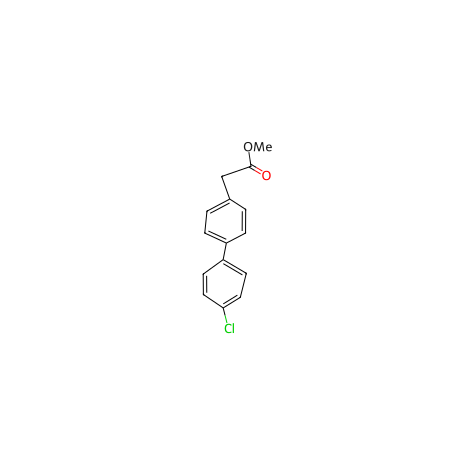 COC(=O)Cc1ccc(-c2ccc(Cl)cc2)cc1